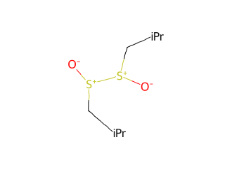 CC(C)C[S+]([O-])[S+]([O-])CC(C)C